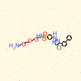 NCCOCCOCCOCCNS(=O)(=O)c1ccc(Nc2ncc(Cl)c(-c3cccc(-c4ccccc4)c3)n2)cc1